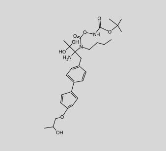 CCCCN(C(=O)ONC(=O)OC(C)(C)C)C(N)(Cc1ccc(-c2ccc(OCC(C)O)cc2)cc1)C(C)(O)O